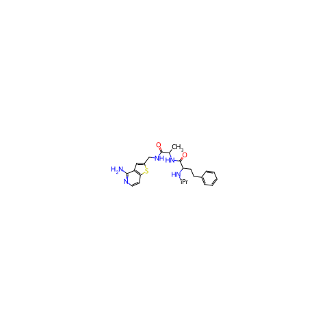 CC(C)NC(CCc1ccccc1)C(=O)NC(C)C(=O)NCc1cc2c(N)nccc2s1